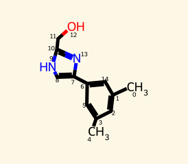 Cc1cc(C)cc(-c2c[nH]c(CO)n2)c1